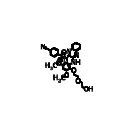 COc1cc(Nc2nc3ccccc3nc2NS(=O)(=O)c2ccc(C#N)cc2)c(OCCOCCO)c(OC)c1